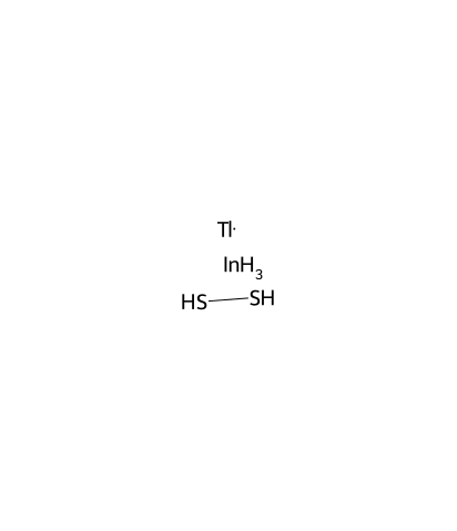 SS.[InH3].[Tl]